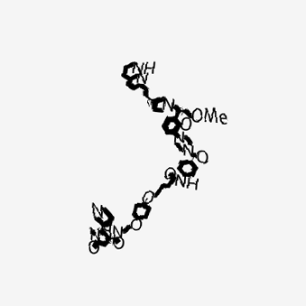 COC(=O)C[C@H](CN1CC[C@@H](CCc2ccc3c(n2)NCCC3)C1)c1cccc(N2CCN(C(=O)[C@H]3CC[C@H](NC(=O)CCCO[C@H]4CC[C@H](OCCNC(=O)[C@H]5CC(=O)N(C)[C@@H]5c5cccnc5)CC4)CC3)CC2)c1